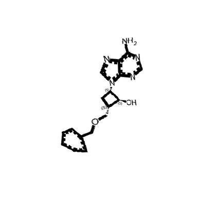 Nc1ncnc2c1ncn2[C@H]1C[C@@H](COCc2ccccc2)[C@@H]1O